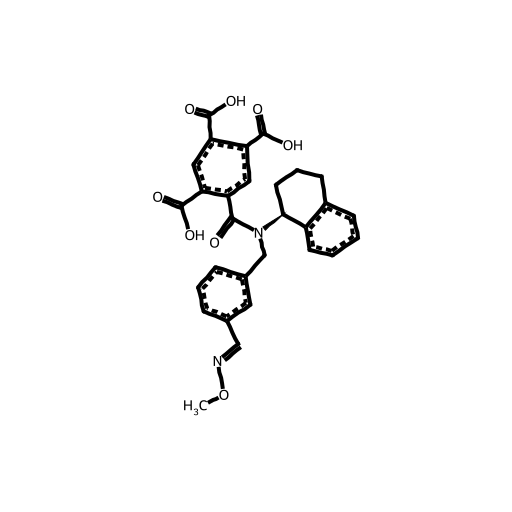 CON=Cc1cccc(CN(C(=O)c2cc(C(=O)O)c(C(=O)O)cc2C(=O)O)[C@H]2CCCc3ccccc32)c1